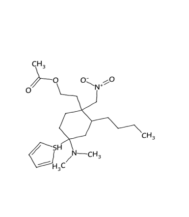 CCCCC1CC(N(C)C)([SH]2C=CC=C2)CCC1(CCOC(C)=O)C[N+](=O)[O-]